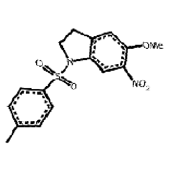 COc1cc2c(cc1[N+](=O)[O-])N(S(=O)(=O)c1ccc(C)cc1)CC2